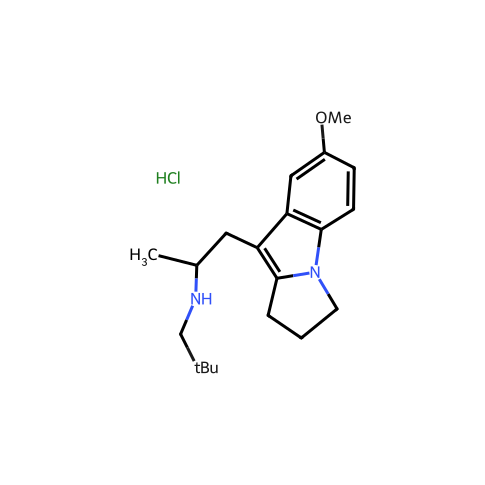 COc1ccc2c(c1)c(CC(C)NCC(C)(C)C)c1n2CCC1.Cl